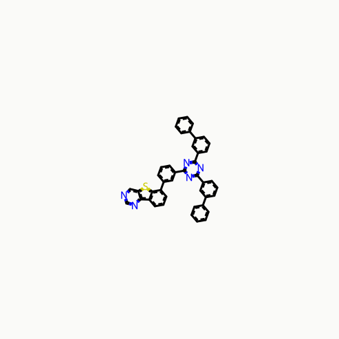 c1ccc(-c2cccc(-c3nc(-c4cccc(-c5ccccc5)c4)nc(-c4cccc(-c5cccc6c5sc5cncnc56)c4)n3)c2)cc1